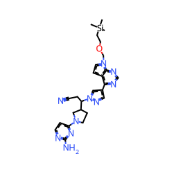 C[Si](C)(C)CCOCn1ccc2c(-c3cnn(C(CC#N)C4CCN(c5ccnc(N)n5)C4)c3)ncnc21